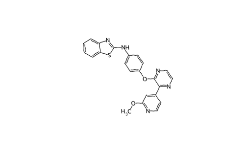 COc1cc(-c2nccnc2Oc2ccc(Nc3nc4ccccc4s3)cc2)ccn1